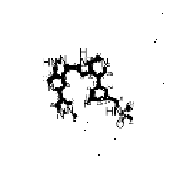 Cn1cc(-c2cc3c(-c4cc5c(-c6cc(F)cc(CNS(C)(=O)=O)c6)cncc5[nH]4)n[nH]c3cn2)cn1